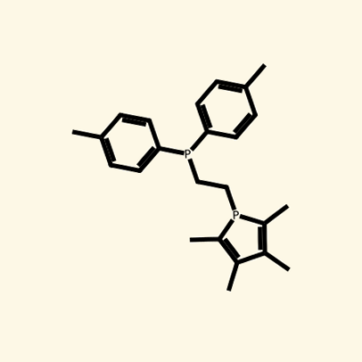 Cc1ccc(P(CCp2c(C)c(C)c(C)c2C)c2ccc(C)cc2)cc1